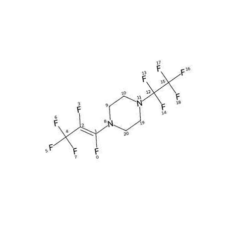 FC(=C(F)C(F)(F)F)N1CCN(C(F)(F)C(F)(F)F)CC1